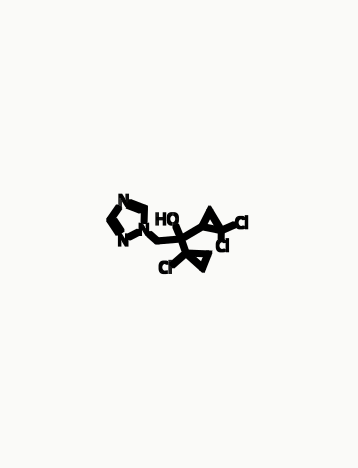 OC(Cn1cncn1)(C1CC1(Cl)Cl)C1(Cl)CC1